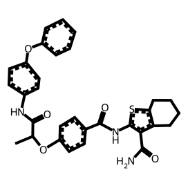 CC(Oc1ccc(C(=O)Nc2sc3c(c2C(N)=O)CCCC3)cc1)C(=O)Nc1ccc(Oc2ccccc2)cc1